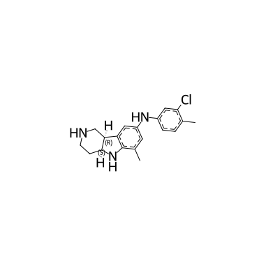 Cc1ccc(Nc2cc(C)c3c(c2)[C@@H]2CNCC[C@@H]2N3)cc1Cl